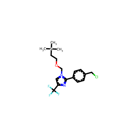 C[Si](C)(C)CCOCn1cc(C(F)(F)F)nc1-c1ccc(CCl)cc1